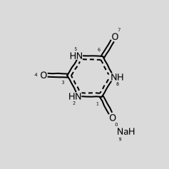 O=c1[nH]c(=O)[nH]c(=O)[nH]1.[NaH]